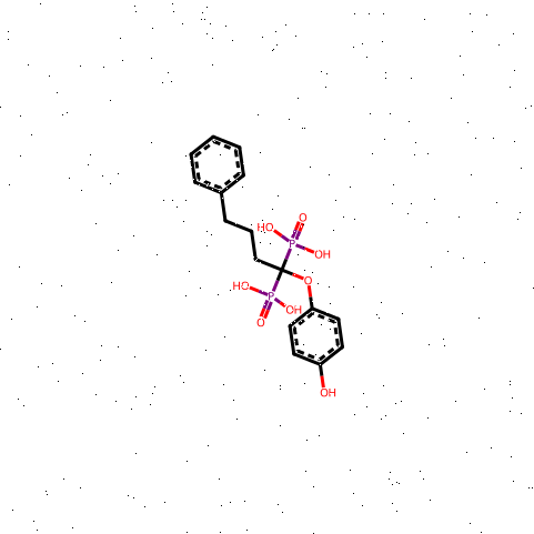 O=P(O)(O)C(CCCc1ccccc1)(Oc1ccc(O)cc1)P(=O)(O)O